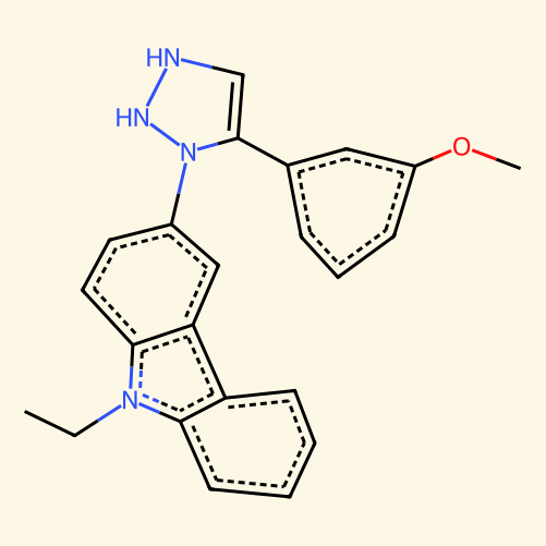 CCn1c2ccccc2c2cc(N3NNC=C3c3cccc(OC)c3)ccc21